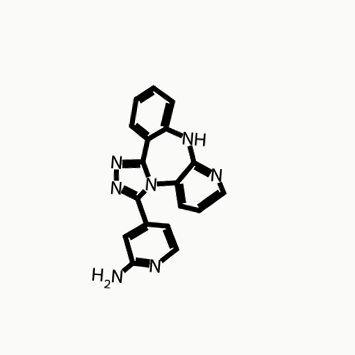 Nc1cc(-c2nnc3n2-c2cccnc2Nc2ccccc2-3)ccn1